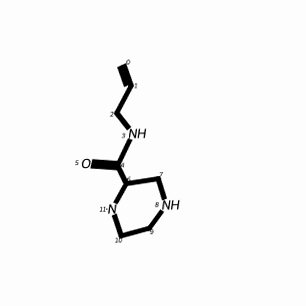 C=CCNC(=O)C1CNCC[N]1